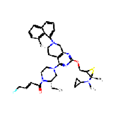 Cc1cccc2cccc(N3CCc4c(nc(OCC5S[C@]5(C)N(C)C5CC5)nc4N4CCN(C(=O)/C=C/CF)[C@@H](CC#N)C4)C3)c12